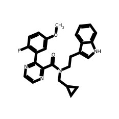 COc1ccc(F)c(-c2nccnc2C(=O)N(CCc2c[nH]c3ccccc23)CC2CC2)c1